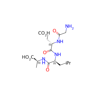 CC(C)C[C@H](NC(=O)[C@H](CC(=O)O)NC(=O)CN)C(=O)N[C@@H](C)C(=O)O